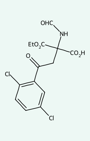 CCOC(=O)C(CC(=O)c1cc(Cl)ccc1Cl)(NC=O)C(=O)O